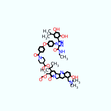 CCNC(=O)c1nnc(-c2cc(C(C)C)c(O)cc2O)n1-c1ccc(Oc2ccc(C(=O)N3CCC(C(=O)OC(C)(CC)c4cc5n(c(=O)c4COC=O)Cc4cc6c(CN(C)C)c(O)ccc6nc4-5)CC3)cc2)cc1